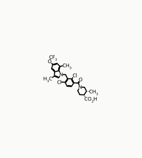 Cc1cn(Cc2c(Cl)ccc(C(=O)N3CC[C@@H](C(=O)O)[C@@H](C)C3)c2Cl)c2c(C)cc(OC(F)(F)F)cc12